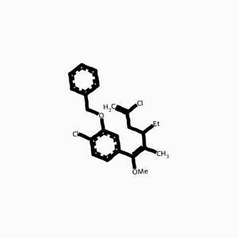 C=C(Cl)CC(CC)/C(C)=C(/OC)c1ccc(Cl)c(OCc2ccccc2)c1